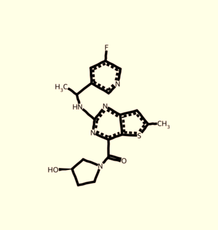 Cc1cc2nc(NC(C)c3cncc(F)c3)nc(C(=O)N3CC[C@@H](O)C3)c2s1